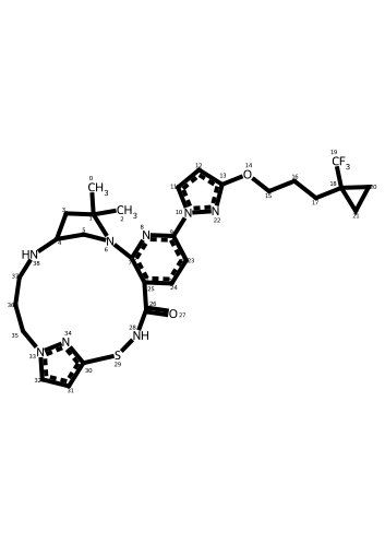 CC1(C)CC2CN1c1nc(-n3ccc(OCCCC4(C(F)(F)F)CC4)n3)ccc1C(=O)NSc1ccn(n1)CCCN2